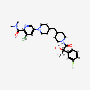 CN(C)C(=O)c1ncc(N2CCC(CC3CCN(C(=O)C(O)(c4cccc(F)c4)C(F)(F)F)CC3)CC2)cc1Cl